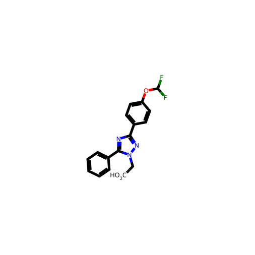 O=C(O)Cn1nc(-c2ccc(OC(F)F)cc2)nc1-c1ccccc1